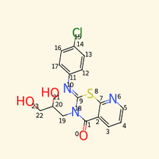 O=c1c2cccnc2sc(=Nc2ccc(Cl)cc2)n1CC(O)CO